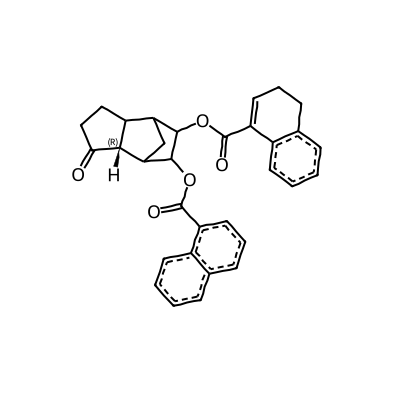 O=C(OC1C2CC(C1OC(=O)c1cccc3ccccc13)[C@@H]1C(=O)CCC21)C1=CCCc2ccccc21